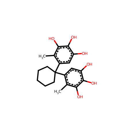 Cc1c(C2(c3cc(O)c(O)c(O)c3C)CCCCC2)cc(O)c(O)c1O